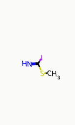 CSC(=N)I